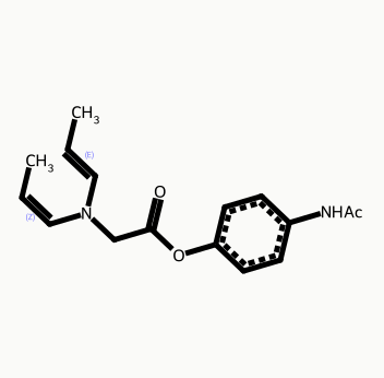 C/C=C\N(/C=C/C)CC(=O)Oc1ccc(NC(C)=O)cc1